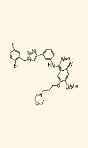 COc1cc2ncnc(Nc3cccc(-c4cn(Cc5cc(F)ccc5Br)nn4)c3)c2cc1OCCCN1CCOCC1